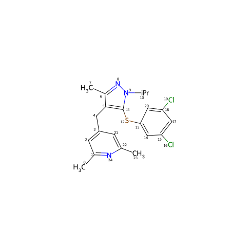 Cc1cc(Cc2c(C)nn(C(C)C)c2Sc2cc(Cl)cc(Cl)c2)cc(C)n1